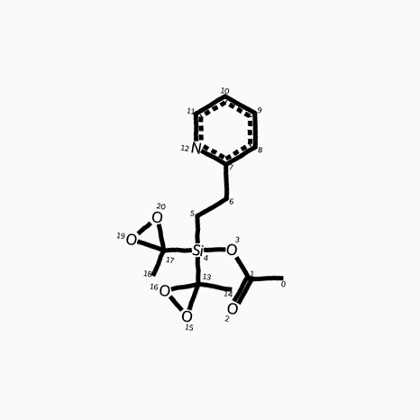 CC(=O)O[Si](CCc1ccccn1)(C1(C)OO1)C1(C)OO1